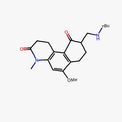 CCCCNCC1CCc2c(OC)cc3c(c2C1=O)CCC(=O)N3C